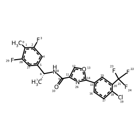 Cc1c(F)cc([C@@H](C)NC(=O)c2coc(-c3ccc(Cl)c(C(F)(F)F)c3)n2)cc1F